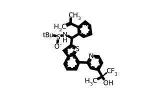 C=C(C)c1ccccc1C(N[S+]([O-])C(C)(C)C)c1cc2cccc(-c3cc([C@@](C)(O)C(F)(F)F)ccn3)c2s1